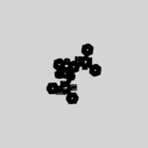 c1ccc(C2=NC(c3ccccc3)NC(c3ccc4c(c3)Oc3ccccc3C43c4ccccc4-c4c(C5=NC(c6ccccc6)NC(c6ccccc6)N5)cccc43)=N2)cc1